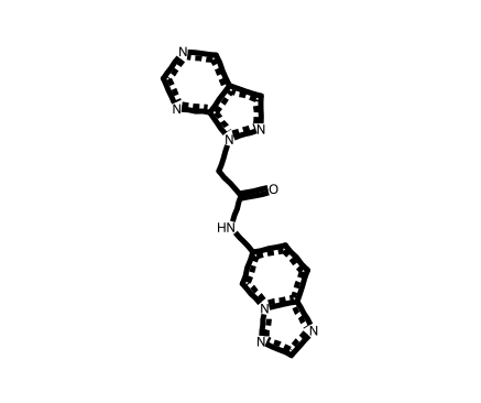 O=C(Cn1ncc2cncnc21)Nc1ccc2ncnn2c1